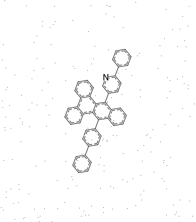 c1ccc(-c2ccc(-c3c4ccccc4c(-c4ccc(-c5ccccc5)nc4)c4c5ccccc5c5ccccc5c34)cc2)cc1